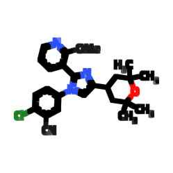 COc1ncccc1-c1nc(C2CC(C)(C)OC(C)(C)C2)cn1-c1ccc(Cl)c(C#N)c1